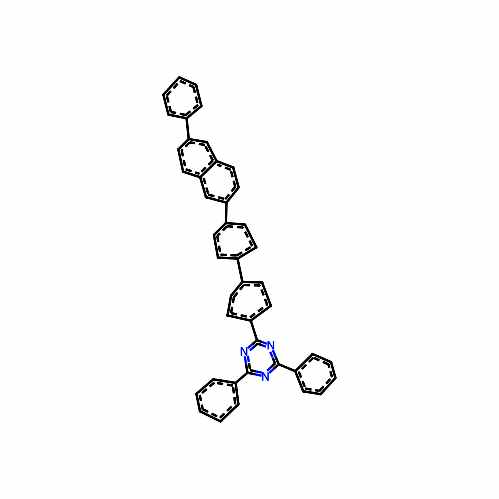 c1ccc(-c2ccc3cc(-c4ccc(-c5ccc(-c6nc(-c7ccccc7)nc(-c7ccccc7)n6)cc5)cc4)ccc3c2)cc1